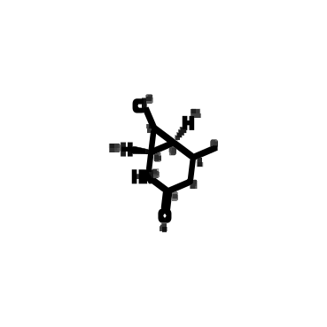 CC1CC(=O)N[C@@H]2C(Cl)[C@@H]12